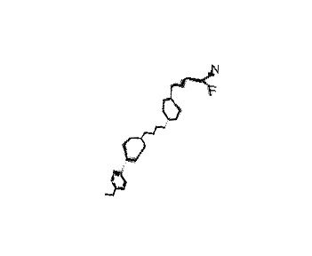 CCc1ccc([C@H]2CC[C@H](CCCC[C@H]3CC[C@H](CC/C=C(\F)C#N)CC3)CC2)cc1